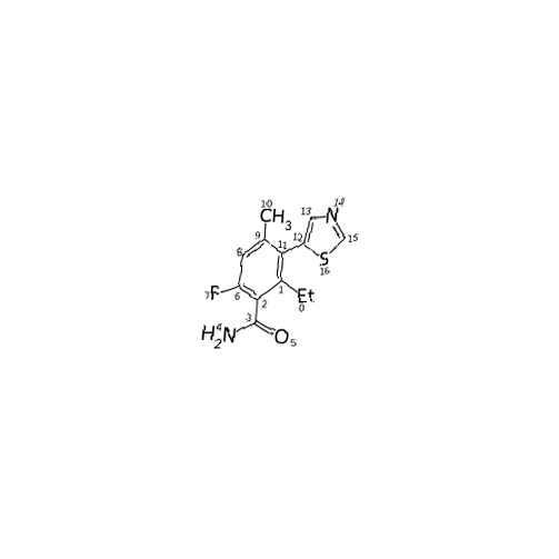 CCc1c(C(N)=O)c(F)cc(C)c1-c1cncs1